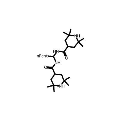 CCCCCC(NC(=O)C1CC(C)(C)NC(C)(C)C1)NC(=O)C1CC(C)(C)NC(C)(C)C1